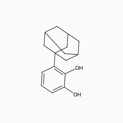 Oc1cc[c]c(C23CC4CC(CC(C4)C2)C3)c1O